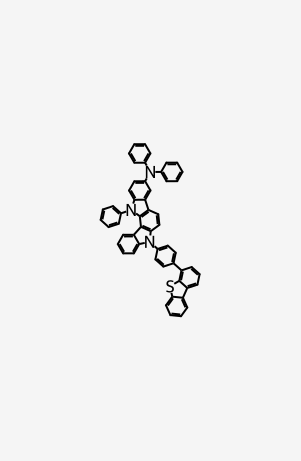 c1ccc(N(c2ccccc2)c2ccc3c(c2)c2ccc4c(c5ccccc5n4-c4ccc(-c5cccc6c5sc5ccccc56)cc4)c2n3-c2ccccc2)cc1